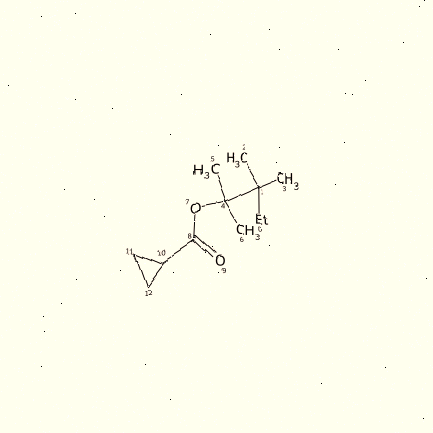 CCC(C)(C)C(C)(C)OC(=O)C1CC1